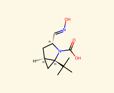 CC(C)(C)[C@@]12C[C@H]1C[C@H](C=NO)N2C(=O)O